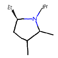 CC[C@@H]1CC(C)C(C)N1C(C)C